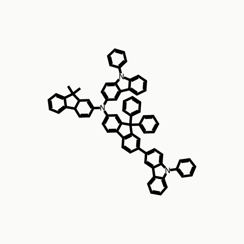 CC1(C)c2ccccc2C2C=CC(N(c3ccc4c(c3)C(c3ccccc3)(c3ccccc3)c3cc(-c5ccc6c(c5)c5ccccc5n6-c5ccccc5)ccc3-4)c3ccc4c(c3)c3ccccc3n4-c3ccccc3)=CC21